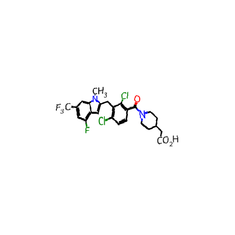 Cn1c(Cc2c(Cl)ccc(C(=O)N3CCC(CC(=O)O)CC3)c2Cl)cc2c(F)cc(C(F)(F)F)cc21